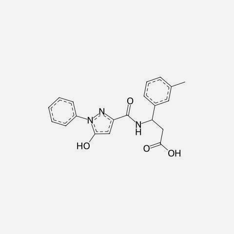 Cc1cccc(C(CC(=O)O)NC(=O)c2cc(O)n(-c3ccccc3)n2)c1